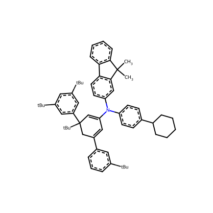 CC(C)(C)c1cccc(C2=CC(N(c3ccc(C4CCCCC4)cc3)c3ccc4c(c3)C(C)(C)c3ccccc3-4)=CC(c3cc(C(C)(C)C)cc(C(C)(C)C)c3)(C(C)(C)C)C2)c1